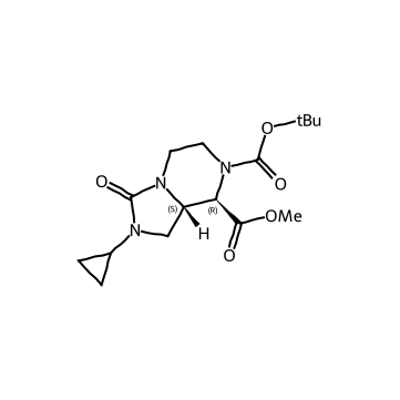 COC(=O)[C@H]1[C@@H]2CN(C3CC3)C(=O)N2CCN1C(=O)OC(C)(C)C